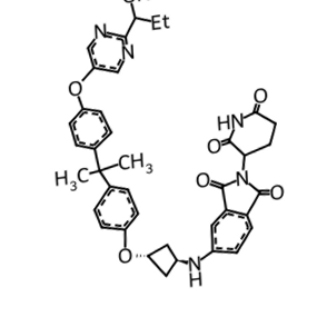 CCC(O)c1ncc(Oc2ccc(C(C)(C)c3ccc(O[C@H]4C[C@H](Nc5ccc6c(c5)C(=O)N(C5CCC(=O)NC5=O)C6=O)C4)cc3)cc2)cn1